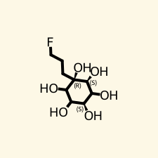 OC1C(O)[C@](O)(CCCF)[C@@H](O)C(O)[C@H]1O